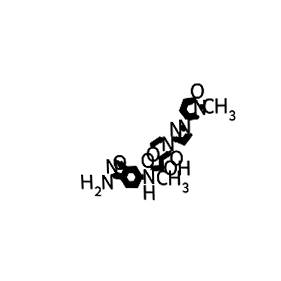 Cn1cc(-n2ccc(N3CCO[C@H]([C@@](C)(O)C(=O)Nc4ccc5c(N)noc5c4)C3=O)n2)ccc1=O